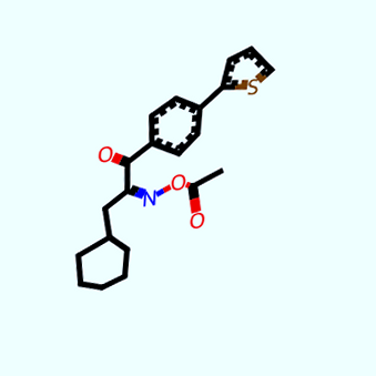 CC(=O)ON=C(CC1CCCCC1)C(=O)c1ccc(-c2cccs2)cc1